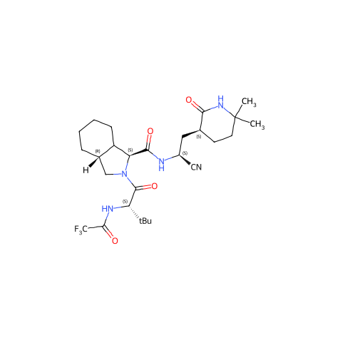 CC1(C)CC[C@@H](C[C@@H](C#N)NC(=O)[C@@H]2C3CCCC[C@H]3CN2C(=O)[C@@H](NC(=O)C(F)(F)F)C(C)(C)C)C(=O)N1